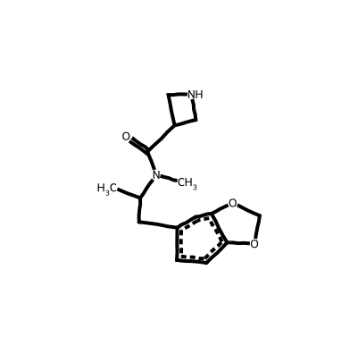 CC(Cc1ccc2c(c1)OCO2)N(C)C(=O)C1CNC1